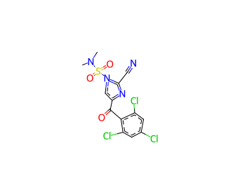 CN(C)S(=O)(=O)n1cc(C(=O)c2c(Cl)cc(Cl)cc2Cl)nc1C#N